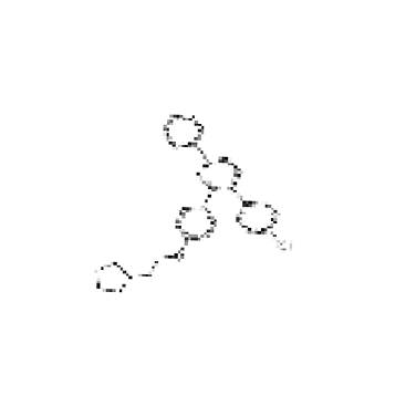 Oc1ccc(-c2ccc(-c3ccccc3)nc2-c2ccc(OCCN3CCCC3)cc2)cc1